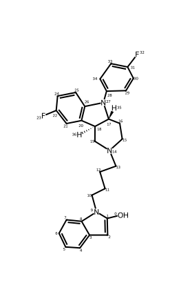 Oc1cc2ccccc2n1CCCCN1CC[C@@H]2[C@@H](C1)c1cc(F)ccc1N2c1ccc(F)cc1